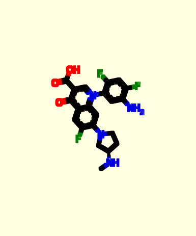 CN[C@H]1CCN(c2cc3c(cc2F)c(=O)c(C(=O)O)cn3-c2cc(N)c(F)cc2F)C1